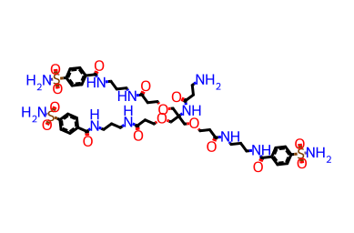 NCCC(=O)NC(COCCC(=O)NCCCNC(=O)c1ccc(S(N)(=O)=O)cc1)(COCCC(=O)NCCCNC(=O)c1ccc(S(N)(=O)=O)cc1)COCCC(=O)NCCCNC(=O)c1ccc(S(N)(=O)=O)cc1